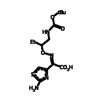 CCC(CNC(=O)OC(C)(C)C)O/N=C(/C(=O)O)c1csc(N)n1